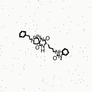 CCCN1C(=O)[C@H](CCCCNC(=O)N(C)c2ccccc2)NC(=O)C12CCN(CCc1ccccc1)CC2